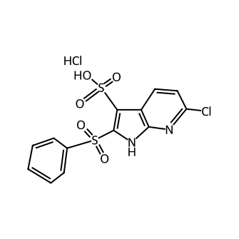 Cl.O=S(=O)(O)c1c(S(=O)(=O)c2ccccc2)[nH]c2nc(Cl)ccc12